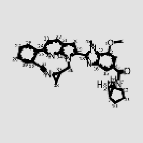 COc1cc(C(=O)N2CC3CCC2[C@@H]3N)cc2nc(-c3cc4ccc(-c5ccccc5C#N)nc4n3CC3CC3)n(C)c12